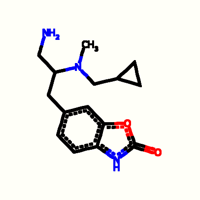 CN(CC1CC1)C(CN)Cc1ccc2[nH]c(=O)oc2c1